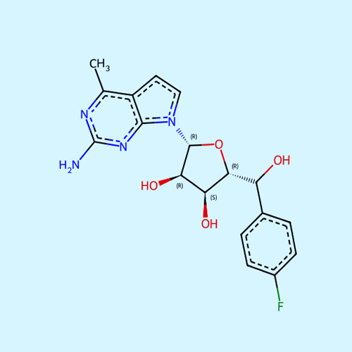 Cc1nc(N)nc2c1ccn2[C@@H]1O[C@H](C(O)c2ccc(F)cc2)[C@@H](O)[C@H]1O